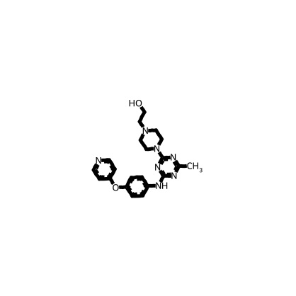 Cc1nc(Nc2ccc(Oc3ccncc3)cc2)nc(N2CCN(CCO)CC2)n1